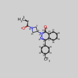 C=CC(=O)N1CC(n2nc(-c3ccc(C(F)(F)F)cc3)c3ccccc3c2=O)C1